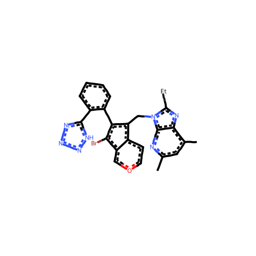 CCc1nc2c(C)cc(C)nc2n1Cc1c2ccocc-2c(Br)c1-c1ccccc1-c1nnn[nH]1